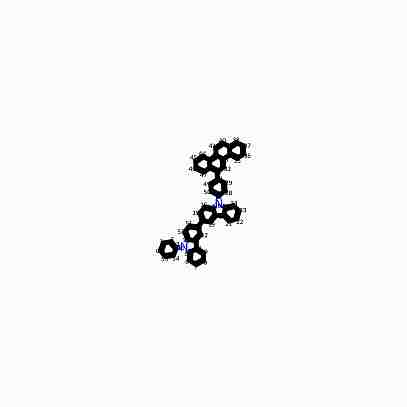 c1ccc(-n2c3ccccc3c3cc(-c4ccc5c(c4)c4ccccc4n5-c4ccc(-c5cc6c7ccccc7ccc6c6ccccc56)cc4)ccc32)cc1